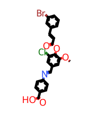 COc1cc(/C=N/c2ccc(C(=O)O)cc2)cc(Cl)c1OC(=O)/C=C/c1cccc(Br)c1